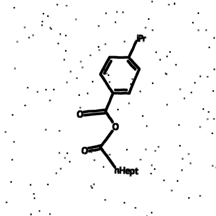 CCCCCCCC(=O)OC(=O)c1ccc(C(C)C)cc1